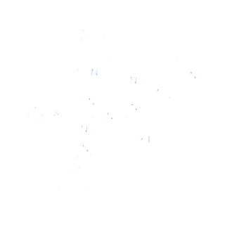 CCn1c(-c2ccncc2)nc2c(N3CCOCC3)nc(-n3nc(C4CC4)cc3CO)nc21